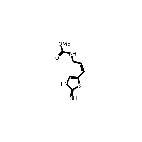 COC(=O)NC/C=C\c1c[nH]c(=N)s1